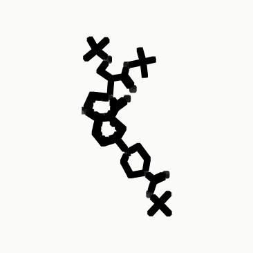 CC(C)(C)OCC(C(=O)OC(C)(C)C)n1cnc2ccc(N3CCN(C(=O)OC(C)(C)C)CC3)cc2c1=O